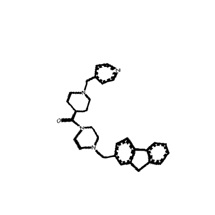 O=C(C1CCN(Cc2ccncc2)CC1)N1CCN(Cc2ccc3c(c2)Cc2ccccc2-3)CC1